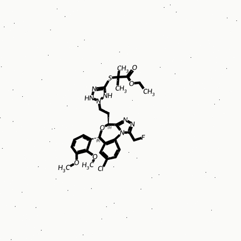 CCOC(=O)C(C)(C)SC1=NNN(CC[C@@H]2O[C@@H](c3cccc(OC)c3OC)c3cc(Cl)ccc3-n3c(CF)nnc32)N1